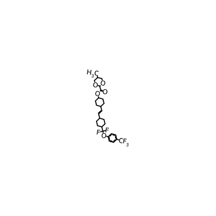 CC1COC(C(=O)OC2CCC(/C=C/C3CCC(C(F)(F)Oc4ccc(C(F)(F)F)cc4)CC3)CC2)OC1